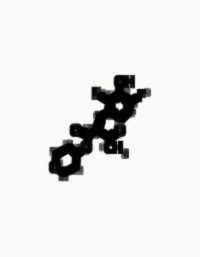 CC(=O)C(=Cc1ccc(F)c(O)c1F)C(=O)OC1CCOCC1